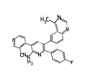 Cc1ncnc2ccc(-c3cc(-c4ccncc4C#N)c(N)nc3-c3ccc(F)cc3)cc12